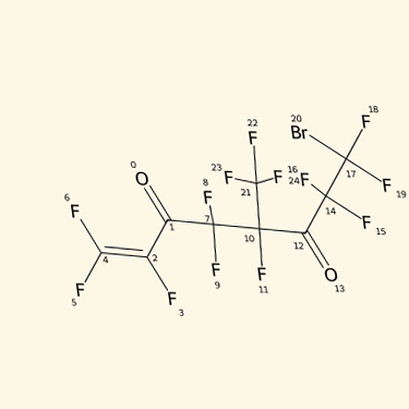 O=C(C(F)=C(F)F)C(F)(F)C(F)(C(=O)C(F)(F)C(F)(F)Br)C(F)(F)F